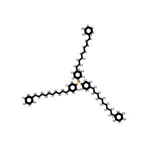 c1ccc(CCCCCCCCCCc2ccc(P(c3ccc(CCCCCCCCCCc4ccccc4)cc3)c3ccc(CCCCCCCCCCc4ccccc4)cc3)cc2)cc1